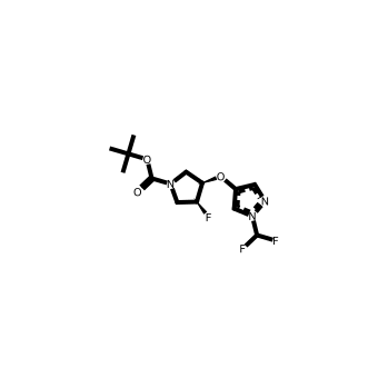 CC(C)(C)OC(=O)N1C[C@H](F)[C@H](Oc2cnn(C(F)F)c2)C1